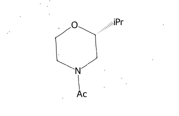 CC(=O)N1CCO[C@H](C(C)C)C1